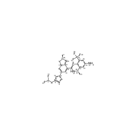 C[C@@H]1CN2C=C(c3cnn(CC(F)F)c3)C=C(C(=O)N[C@H](C)c3cc(N)cc(C(F)(F)F)c3)C2=N1